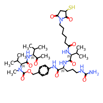 CC(=O)[C@@H](NC(=O)[C@H](C(C)C)N(C)C(=O)OCc1ccc(NC(=O)[C@H](CCCNC(N)=O)NC(=O)[C@@H](NC(=O)CCCCCN2C(=O)CC(S)C2=O)C(C)C)cc1)C(C)C